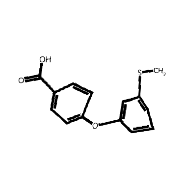 CSc1cccc(Oc2ccc(C(=O)O)cc2)c1